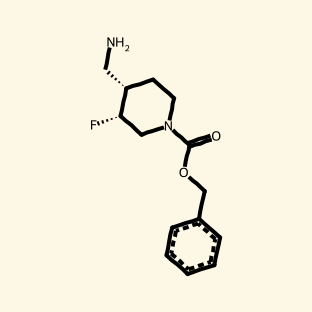 NC[C@@H]1CCN(C(=O)OCc2ccccc2)C[C@@H]1F